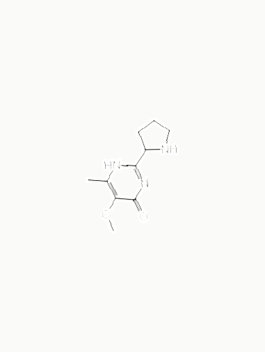 COc1c(C)[nH]c(C2CCCN2)nc1=O